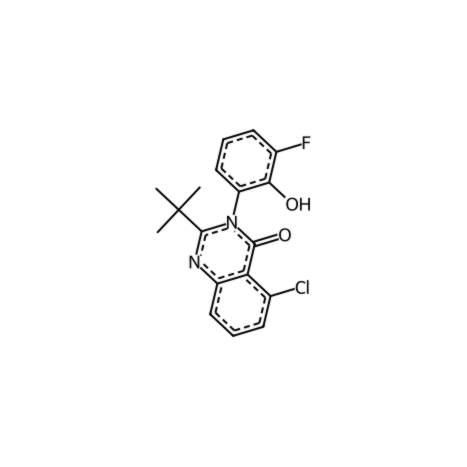 CC(C)(C)c1nc2cccc(Cl)c2c(=O)n1-c1cccc(F)c1O